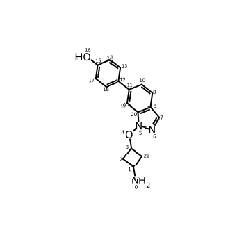 NC1CC(On2ncc3ccc(-c4ccc(O)cc4)cc32)C1